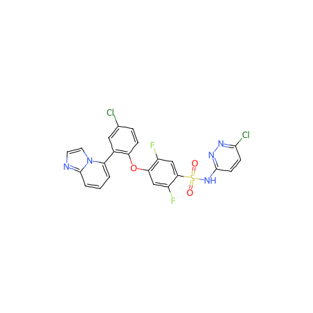 O=S(=O)(Nc1ccc(Cl)nn1)c1cc(F)c(Oc2ccc(Cl)cc2-c2cccc3nccn23)cc1F